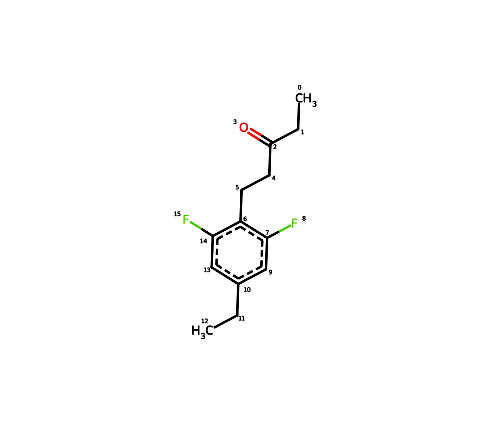 CCC(=O)CCc1c(F)cc(CC)cc1F